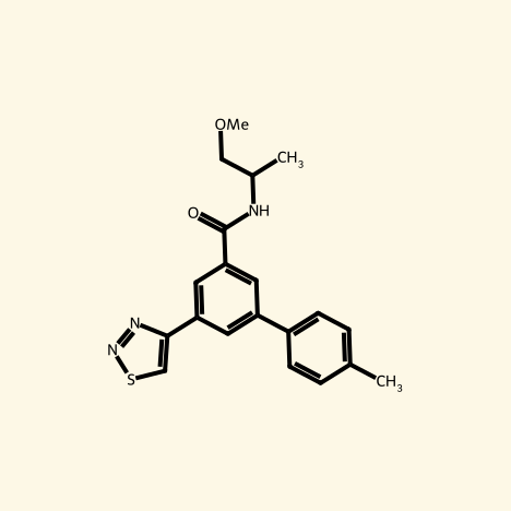 COCC(C)NC(=O)c1cc(-c2ccc(C)cc2)cc(-c2csnn2)c1